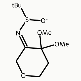 COC1(OC)CCOCC1=N[S+]([O-])C(C)(C)C